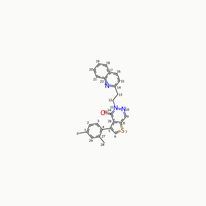 Cc1ccc(-c2csc3cnn(CCc4ccc5ccccc5n4)c(=O)c23)c(C)c1